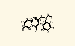 C=C1C=C(CN(CC)c2ccccc2)N=C2C=CC(C)=CN12